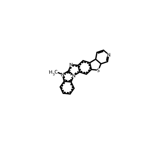 Cn1c2ccccc2n2c3cc4c(cc3nc12)C1C=CN=CC1S4